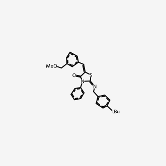 COCc1cccc(C=C2SC(=NCc3ccc(C(C)(C)C)cc3)N(c3ccccc3)C2=O)c1